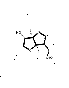 O=CO[C@@H]1CO[C@H]2[C@@H]1OC[C@@H]2O